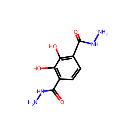 NNC(=O)c1ccc(C(=O)NN)c(O)c1O